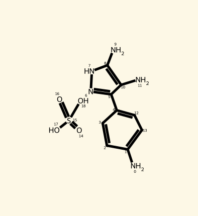 Nc1ccc(-c2n[nH]c(N)c2N)cc1.O=S(=O)(O)O